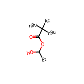 CCCCC(CCCC)(C(C)=O)C(=O)OC(O)CC